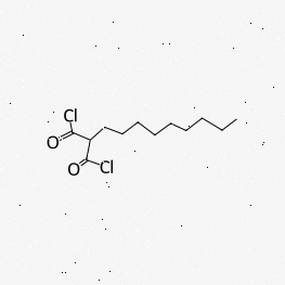 CCCCCCCCCC(C(=O)Cl)C(=O)Cl